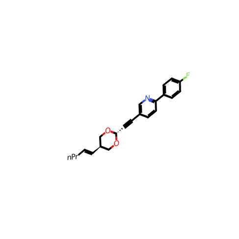 CCC/C=C/[C@H]1CO[C@H](C#Cc2ccc(-c3ccc(F)cc3)nc2)OC1